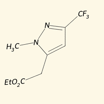 CCOC(=O)Cc1cc(C(F)(F)F)nn1C